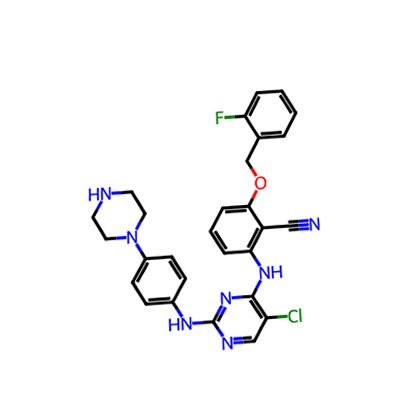 N#Cc1c(Nc2nc(Nc3ccc(N4CCNCC4)cc3)ncc2Cl)cccc1OCc1ccccc1F